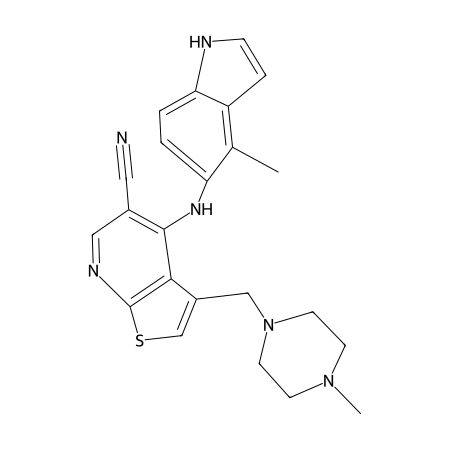 Cc1c(Nc2c(C#N)cnc3scc(CN4CCN(C)CC4)c23)ccc2[nH]ccc12